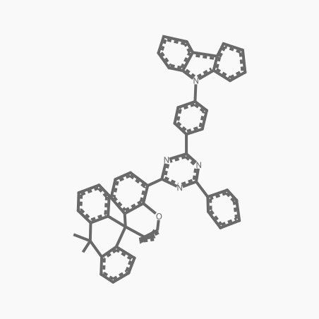 CC1(C)c2ccccc2C2(c3ccccc3Oc3c(-c4nc(-c5ccccc5)nc(-c5ccc(-n6c7ccccc7c7ccccc76)cc5)n4)cccc32)c2ccccc21